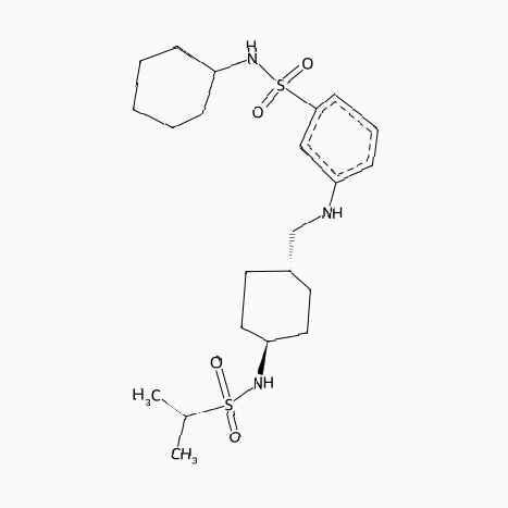 CC(C)S(=O)(=O)N[C@H]1CC[C@H](CNc2cccc(S(=O)(=O)NC3CCCCC3)c2)CC1